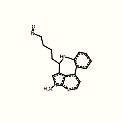 Nn1cc2c3c(ccnc31)-c1ccccc1NC2CCCCN=O